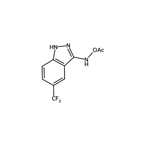 CC(=O)ONc1n[nH]c2ccc(C(F)(F)F)cc12